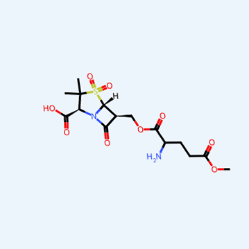 COC(=O)CCC(N)C(=O)OC[C@H]1C(=O)N2[C@@H](C(=O)O)C(C)(C)S(=O)(=O)[C@H]12